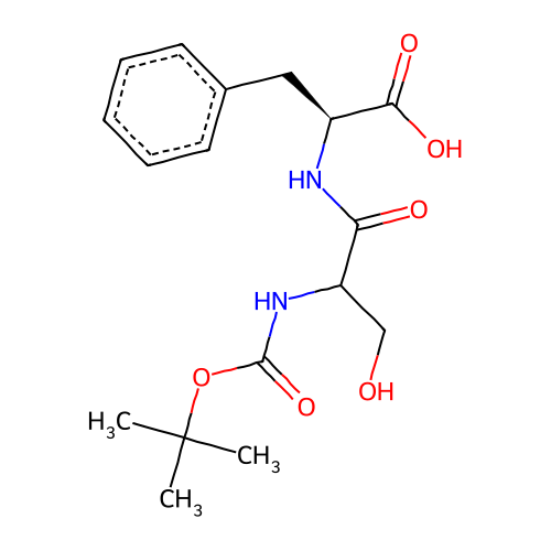 CC(C)(C)OC(=O)NC(CO)C(=O)N[C@@H](Cc1ccccc1)C(=O)O